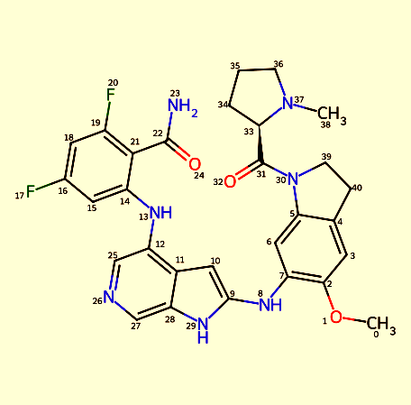 COc1cc2c(cc1Nc1cc3c(Nc4cc(F)cc(F)c4C(N)=O)cncc3[nH]1)N(C(=O)[C@H]1CCCN1C)CC2